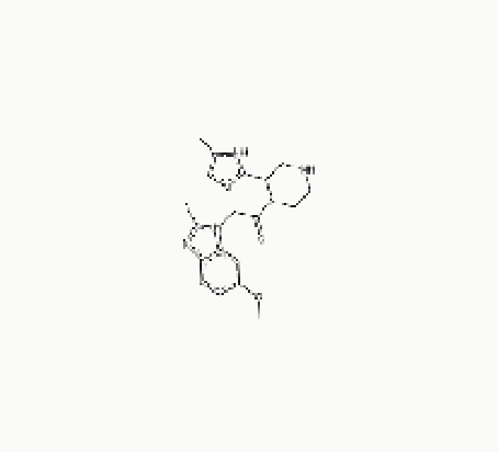 COc1ccc2nc(C)n(CC(=O)N3CCNCC3c3ncc(I)[nH]3)c2c1